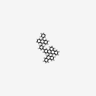 c1ccc(N2c3ccccc3N(c3cccc(-c4ccc(N(c5cc6ccccc6c6ccccc56)c5cc6ccccc6c6ccccc56)cc4)c3)c3ccccc32)cc1